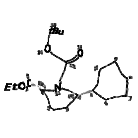 CCOC(=O)[C@H]1CC[C@@H](C2CCCCC2)N1C(=O)OC(C)(C)C